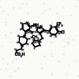 C[C@@H]1CCCN1Cc1sc(Nc2nccc(N3CCN(CCC(=O)O)CC3)c2F)nc1-c1ccc(Cl)c(C(F)(F)F)c1